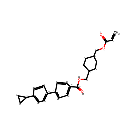 C=CC(=O)OCC1CCC(COC(=O)c2ccc(-c3ccc(C4CC4)cc3)cc2)CC1